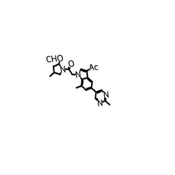 CC(=O)c1cn(CC(=O)N2CC(C)CC2C=O)c2c(C)cc(-c3cnc(C)nc3)cc12